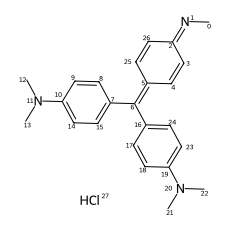 CN=C1C=CC(=C(c2ccc(N(C)C)cc2)c2ccc(N(C)C)cc2)C=C1.Cl